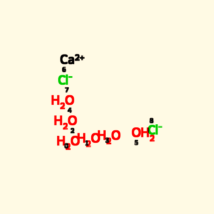 O.O.O.O.O.O.[Ca+2].[Cl-].[Cl-]